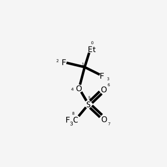 CCC(F)(F)OS(=O)(=O)C(F)(F)F